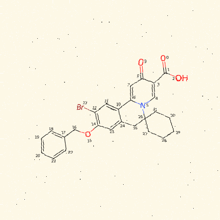 O=C(O)c1cn2c(cc1=O)-c1cc(Br)c(OCc3ccccc3)cc1CC21CCCCC1